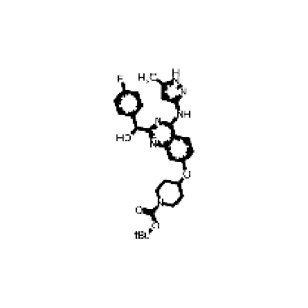 Cc1cc(Nc2nc(C(O)c3ccc(F)cc3)nc3cc(OC4CCN(C(=O)OC(C)(C)C)CC4)ccc23)n[nH]1